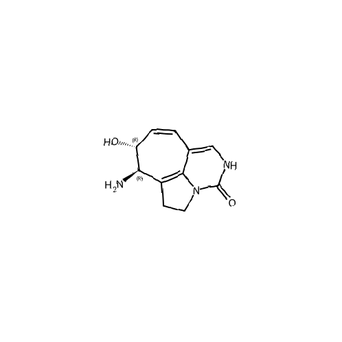 N[C@@H]1C2=C3C(=CNC(=O)N3CC2)C=C[C@H]1O